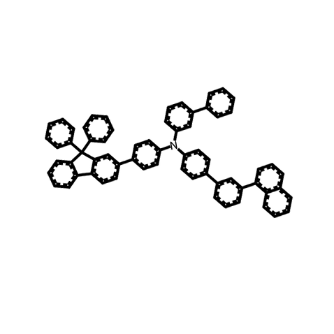 c1ccc(-c2cccc(N(c3ccc(-c4cccc(-c5cccc6ccccc56)c4)cc3)c3ccc(-c4ccc5c(c4)C(c4ccccc4)(c4ccccc4)c4ccccc4-5)cc3)c2)cc1